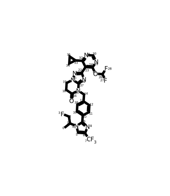 CC(CF)n1cc(C(F)(F)F)nc1-c1ccc(CN2C(=O)CCn3nc(-c4c(OC(F)F)ncnc4C4CC4)nc32)cc1